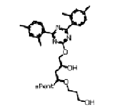 CCCCCC(CC(O)COc1nc(-c2ccc(C)cc2C)nc(-c2ccc(C)cc2C)n1)OCCCO